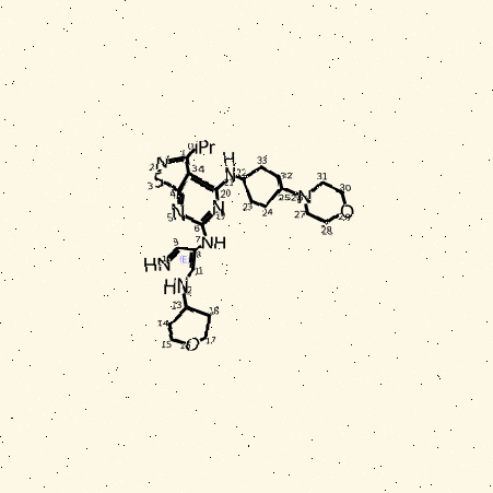 CC(C)c1nsc2nc(N/C(C=N)=C/NC3CCOCC3)nc(NC3CCC(N4CCOCC4)CC3)c12